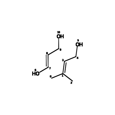 CC(C)=CCO.OC=CCO